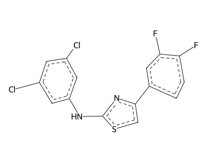 Fc1ccc(-c2csc(Nc3cc(Cl)cc(Cl)c3)n2)cc1F